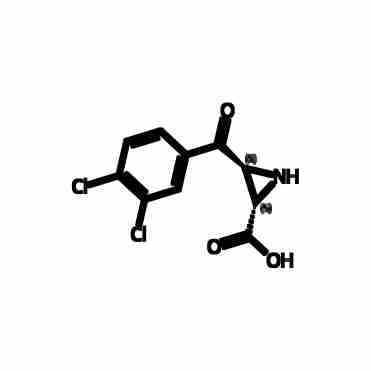 O=C(O)[C@H]1N[C@@H]1C(=O)c1ccc(Cl)c(Cl)c1